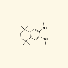 CNc1cc2c(cc1NC)C(C)(C)CCC2(C)C